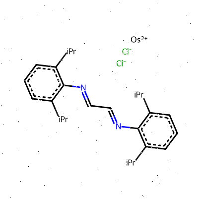 CC(C)c1cccc(C(C)C)c1N=CC=Nc1c(C(C)C)cccc1C(C)C.[Cl-].[Cl-].[Os+2]